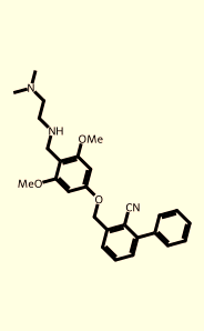 COc1cc(OCc2cccc(-c3ccccc3)c2C#N)cc(OC)c1CNCCN(C)C